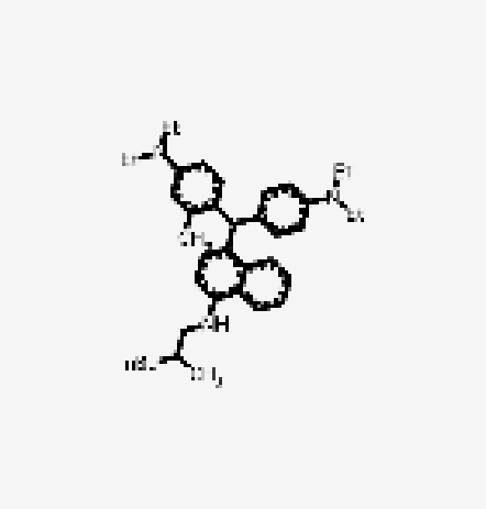 CCCCC(C)CNc1ccc(C(c2ccc(N(CC)CC)cc2)c2ccc(N(CC)CC)cc2C)c2ccccc12